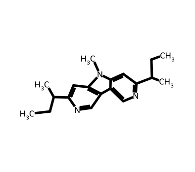 CCC(C)c1cc2c(cn1)c1cnc(C(C)CC)cc1n2C